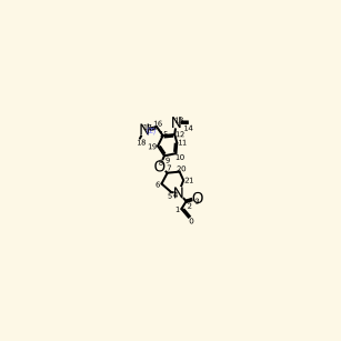 C=CC(=O)N1CCC(Oc2ccc(N=C)c(/C=N\C)c2)CC1